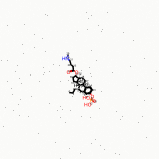 CCC[C@@H]1Cc2cc(OP(=O)(O)O)ccc2[C@H]2CC[C@]3(C)[C@@H](OC(=O)CCCNC)CC[C@H]3[C@H]12